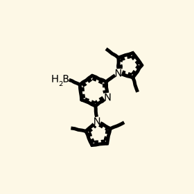 Bc1cc(-n2c(C)ccc2C)nc(-n2c(C)ccc2C)c1